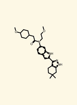 COCCN(C(=O)CC1CCC(OC)CC1)c1ccc2cc(-c3n[nH]c4c3CCC(C)(C)C4)[nH]c2c1